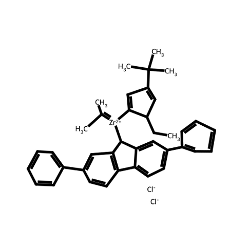 CCC1C=C(C(C)(C)C)C=[C]1[Zr+2](=[C](C)C)[CH]1c2cc(-c3ccccc3)ccc2-c2ccc(-c3ccccc3)cc21.[Cl-].[Cl-]